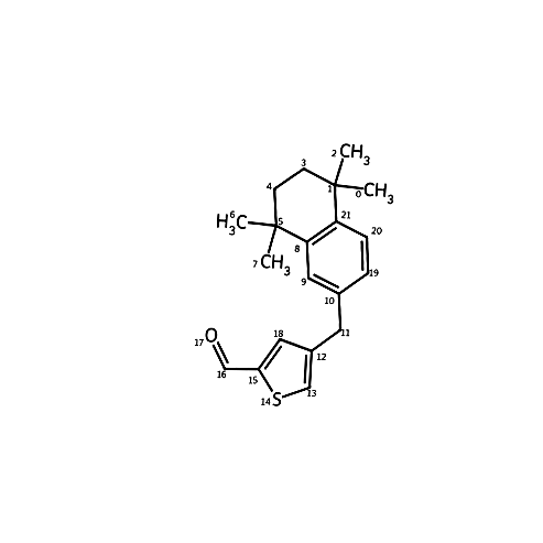 CC1(C)CCC(C)(C)c2cc(Cc3csc(C=O)c3)ccc21